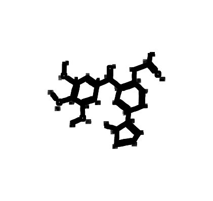 COc1cc(C(=O)c2cc(C3=CC=CC3C)ccc2CC(C)=O)cc(OC)c1OC